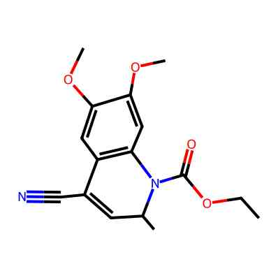 CCOC(=O)N1c2cc(OC)c(OC)cc2C(C#N)=CC1C